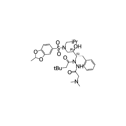 CC(C)CN(C[C@@H](O)[C@H](Cc1ccccc1)N(NC(=O)CN(C)C)C(=O)CC(C)(C)C)S(=O)(=O)c1ccc2c(c1)OC(C)O2